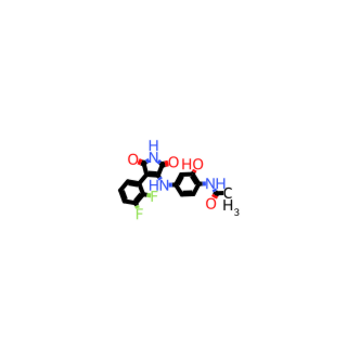 CC(=O)Nc1ccc(NC2=C(c3cccc(F)c3F)C(=O)NC2=O)cc1O